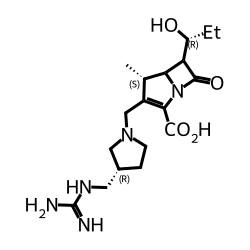 CC[C@@H](O)C1C(=O)N2C(C(=O)O)=C(CN3CC[C@H](CNC(=N)N)C3)[C@H](C)C12